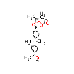 CC1=COC1=O.CC1=COC1=O.CCOC(C)c1ccc(C(C)(C)c2ccc(CC)cc2)cc1